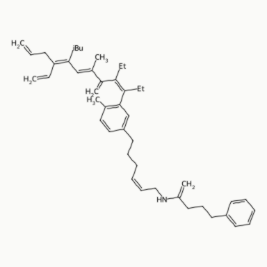 C=CC/C(C=C)=C(/C=C(\C)C(=C)/C(CC)=C(/CC)c1cc(CCC/C=C\CNC(=C)CCCc2ccccc2)ccc1C)C(C)CC